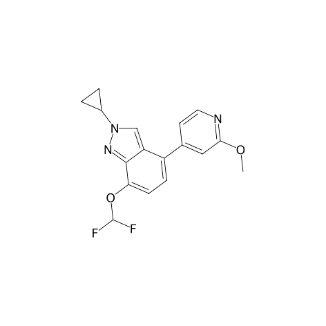 COc1cc(-c2ccc(OC(F)F)c3nn(C4CC4)cc23)ccn1